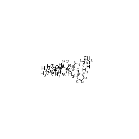 CC(C)(O)CCC[C@@H](CSc1ccccc1)[C@H]1CC[C@H]2[C@@H](O[Si](C)(C)C(C)(C)C)CCC[C@]12C